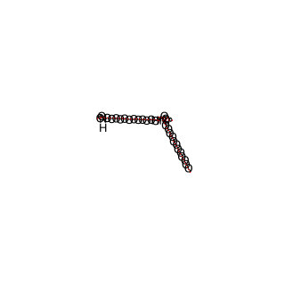 CCCOCCOCCOCCOCCOCCOCCOCCOCCOCCOCCOCCOCCC(=O)N[C@@H](Cc1ccc(OCCOCCOCCOCCOCCOCCOCCOCCOCCOCCOCCOCCNC(=O)OC(C)(C)C)cc1)C(=O)OCc1ccccc1